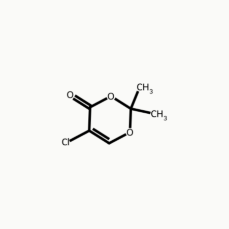 CC1(C)OC=C(Cl)C(=O)O1